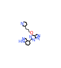 Cn1ncc2c(OCCCc3cccnc3)nc(-c3cccc4[nH]ncc34)nc21